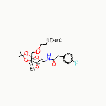 CCCCCCCCCCCCOC[C@@]12O[C@@H](CNC(=O)Cc3ccc(F)cc3)[C@@H](OCC)[C@@H]1OC(C)(C)O2